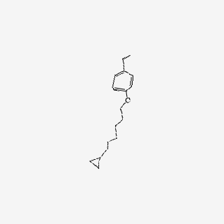 CCc1ccc(OCCCCCCC2CC2)cc1